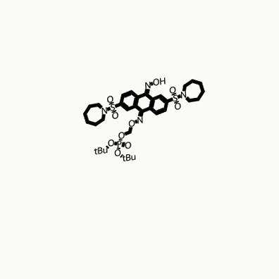 CC(C)(C)OP(=O)(OCON=C1c2ccc(S(=O)(=O)N3CCCCCC3)cc2C(=NO)c2ccc(S(=O)(=O)N3CCCCCC3)cc21)OC(C)(C)C